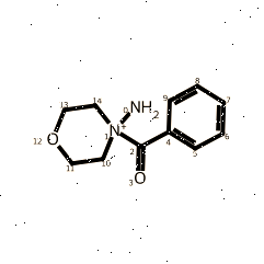 N[N+]1(C(=O)c2ccccc2)CCOCC1